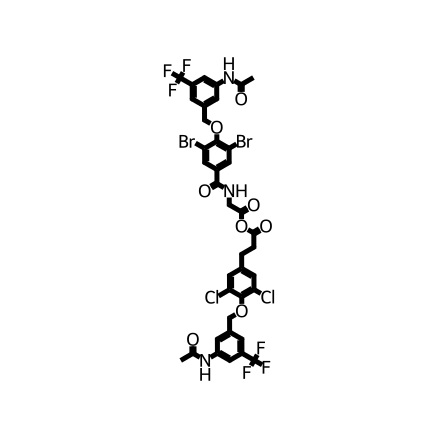 CC(=O)Nc1cc(COc2c(Cl)cc(CCC(=O)OC(=O)CNC(=O)c3cc(Br)c(OCc4cc(NC(C)=O)cc(C(F)(F)F)c4)c(Br)c3)cc2Cl)cc(C(F)(F)F)c1